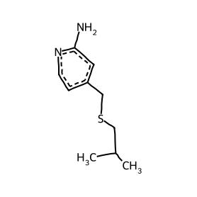 CC(C)CSCc1ccnc(N)c1